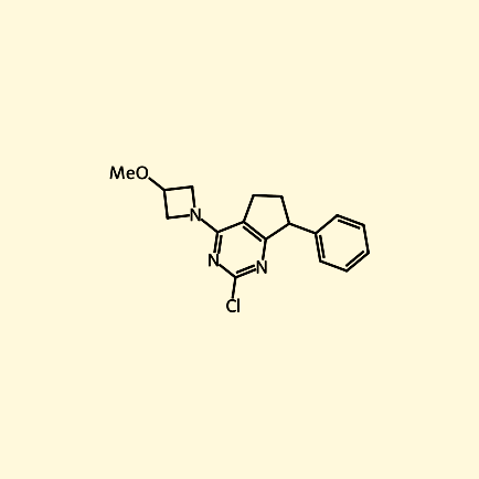 COC1CN(c2nc(Cl)nc3c2CCC3c2ccccc2)C1